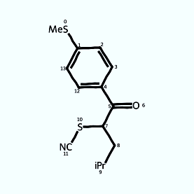 CSc1ccc(C(=O)C(CC(C)C)SC#N)cc1